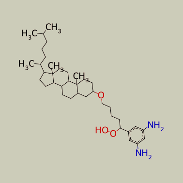 CC(C)CCCC(C)C1CCC2C3CCC4CC(OCCCCC(OO)c5cc(N)cc(N)c5)CCC4(C)C3CCC12C